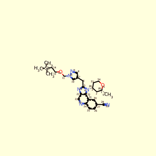 C[C@@H]1C[C@H](n2c(Cc3cnn(COCC[Si](C)(C)C)c3)nc3cnc4ccc(C#N)cc4c32)CCO1